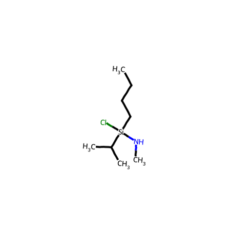 CCCC[Si](Cl)(NC)C(C)C